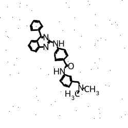 CN(C)Cc1cccc(NC(=O)c2ccc(Nc3nc(-c4ccccc4)c4ccccc4n3)cc2)c1